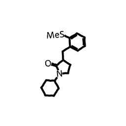 CSc1ccccc1CC1CCN(C2CCCCC2)C1=O